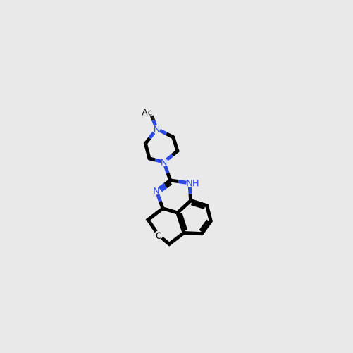 CC(=O)N1CCN(C2=NC3CCCc4cccc(c43)N2)CC1